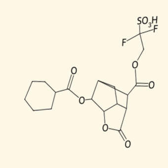 O=C(OC1C2CC3C1OC(=O)C3C2C(=O)OCC(F)(F)S(=O)(=O)O)C1CCCCC1